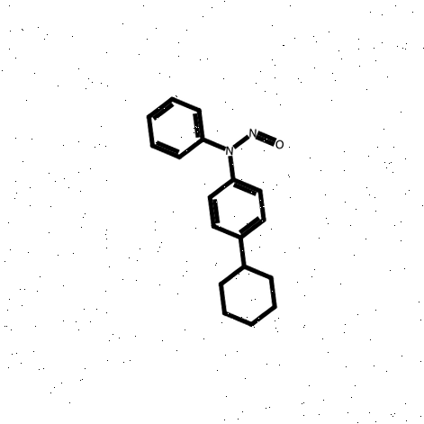 O=NN(c1ccccc1)c1ccc(C2CCCCC2)cc1